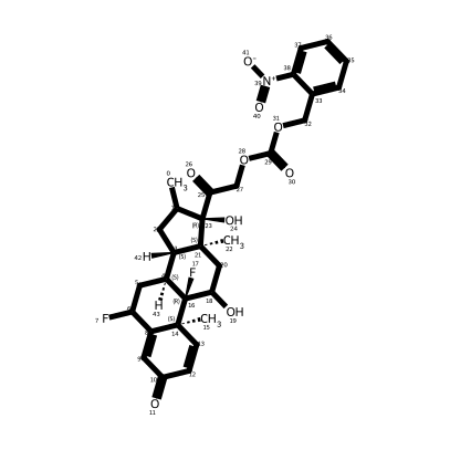 CC1C[C@H]2[C@@H]3CC(F)C4=CC(=O)C=C[C@]4(C)[C@@]3(F)C(O)C[C@]2(C)[C@@]1(O)C(=O)COC(=O)OCc1ccccc1[N+](=O)[O-]